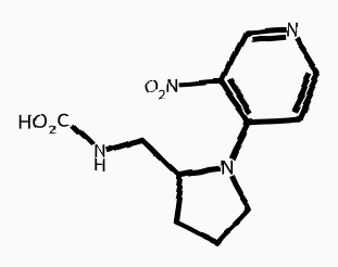 O=C(O)NCC1CCCN1c1ccncc1[N+](=O)[O-]